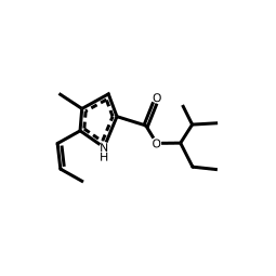 C/C=C\c1[nH]c(C(=O)OC(CC)C(C)C)cc1C